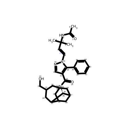 CC(=O)NC(C)(C)/C=C/n1ncc(C(=O)N[C@@H]2C3CC4CC(CO)CC2C(C4)C3)c1-c1ccccc1